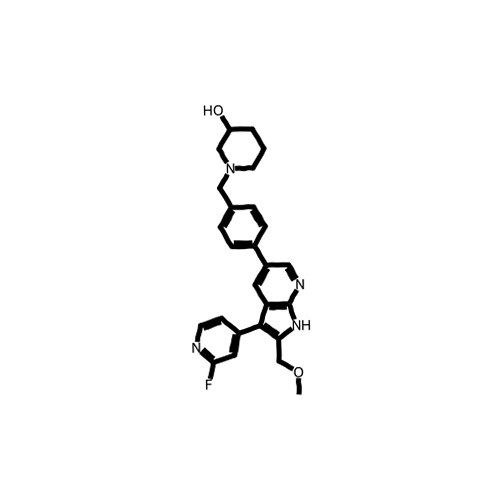 COCc1[nH]c2ncc(-c3ccc(CN4CCCC(O)C4)cc3)cc2c1-c1ccnc(F)c1